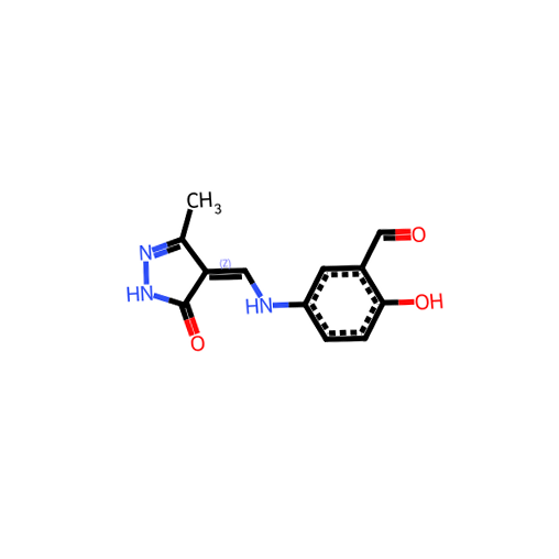 CC1=NNC(=O)/C1=C\Nc1ccc(O)c(C=O)c1